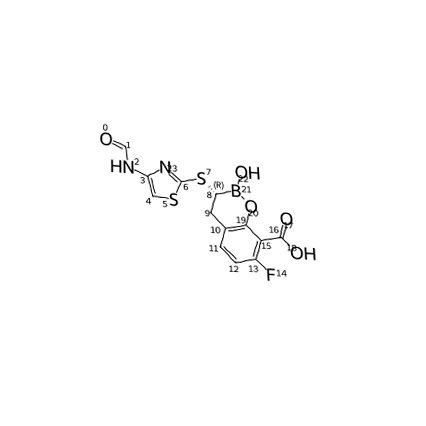 O=CNc1csc(S[C@H]2Cc3ccc(F)c(C(=O)O)c3OB2O)n1